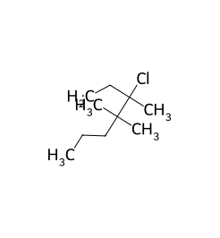 [CH2]CC(C)(Cl)C(C)(C)CCC